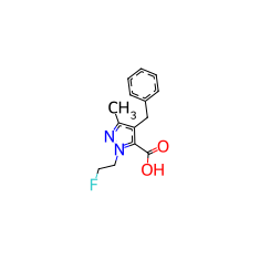 Cc1nn(CCF)c(C(=O)O)c1Cc1ccccc1